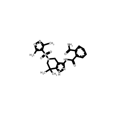 Cc1noc(C)c1S(=O)(=O)N1Cc2c(NC(=O)c3ccccc3C(N)=O)n[nH]c2C(C)(C)C1